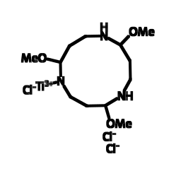 COC1CCNC(OC)CC[N]([Ti+3])C(OC)CCN1.[Cl-].[Cl-].[Cl-]